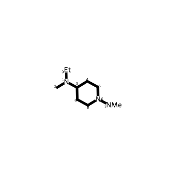 CCN(C)C1CCN(NC)CC1